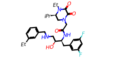 CCc1cccc(CNC[C@H](O)[C@H](Cc2cc(F)cc(F)c2)NC(=O)CN2C[C@@H](C(C)C)N(CC)C(=O)C2=O)c1